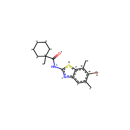 Cc1cc2nc(NC(=O)C3(C)CCCCC3)sc2c(C)c1Br